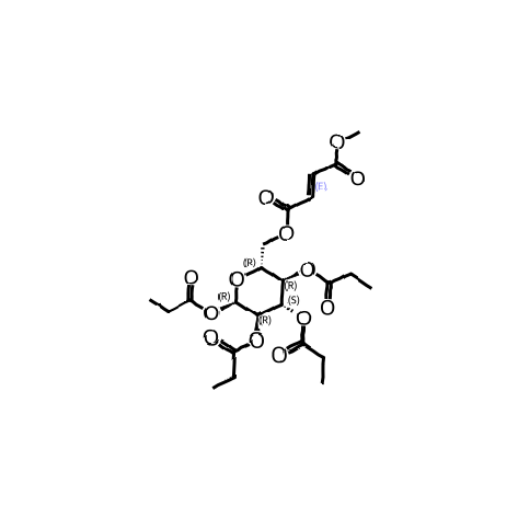 CCC(=O)O[C@H]1O[C@H](COC(=O)/C=C/C(=O)OC)[C@@H](OC(=O)CC)[C@H](OC(=O)CC)[C@H]1OC(=O)CC